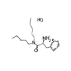 CCCCCN(CCCCC)C(=O)[C@@H](N)Cc1cccs1.Cl